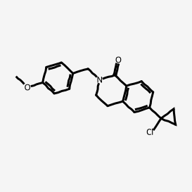 COc1ccc(CN2CCc3cc(C4(Cl)CC4)ccc3C2=O)cc1